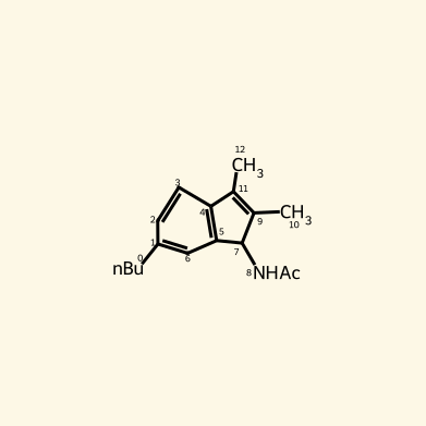 CCCCc1ccc2c(c1)C(NC(C)=O)C(C)=C2C